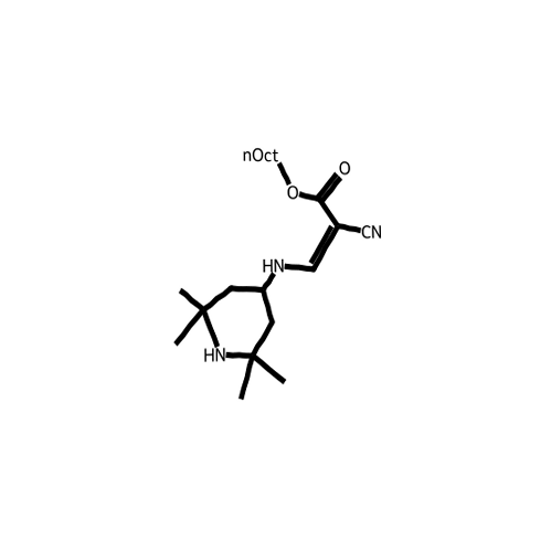 CCCCCCCCOC(=O)C(C#N)=CNC1CC(C)(C)NC(C)(C)C1